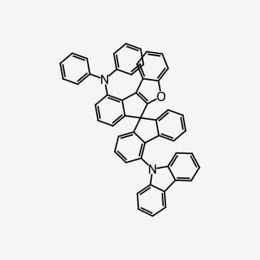 c1ccc(N(c2ccccc2)c2cccc3c2-c2c(oc4ccccc24)C32c3ccccc3-c3c(-n4c5ccccc5c5ccccc54)cccc32)cc1